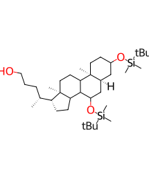 C[C@H](CCCO)[C@H]1CCC2C3C(O[Si](C)(C)C(C)(C)C)C[C@@H]4CC(O[Si](C)(C)C(C)(C)C)CC[C@]4(C)C3CC[C@@]21C